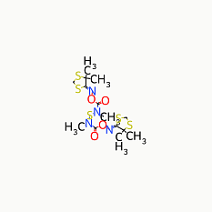 CN(SN(C)C(=O)ON=C1SCSC1(C)C)C(=O)ON=C1SCSC1(C)C